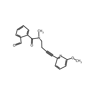 COc1cccc(C#CCCN(C)C(=O)c2ccccc2C=O)n1